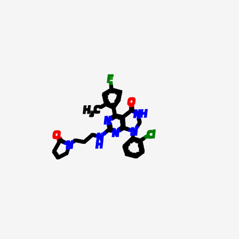 Cc1cc(F)ccc1-c1nc(NCCCN2CCCC2=O)nc2c1C(=O)NCN2c1ccccc1Cl